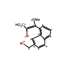 COC(=C(Br)C(=O)O)c1cccc2ccc(CBr)cc12